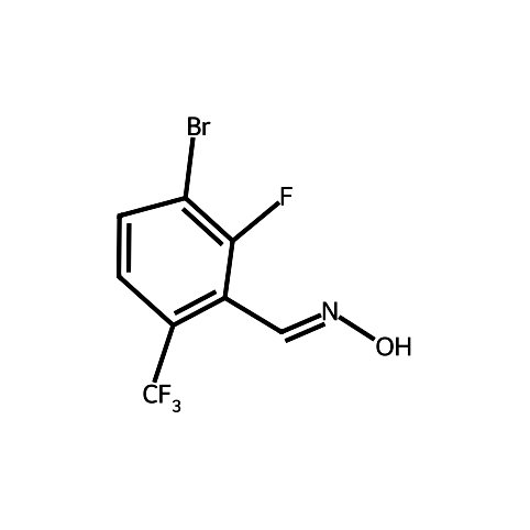 O/N=C/c1c(C(F)(F)F)ccc(Br)c1F